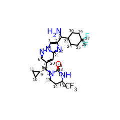 NC(c1cn2ncc([C@@H](C3CC3)N3CCC(C(F)(F)F)NC3=O)cc2n1)C1CCC(F)(F)CC1